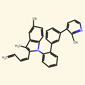 C=C/C=C\c1c(C)c2cc(C#N)ccc2n1-c1ccccc1-c1cccc(-c2cccnc2C#N)c1